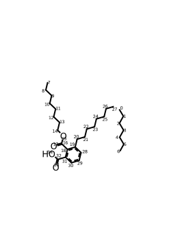 CCCCCCC.CCCCCCCCOC(=O)c1c(CCCCCCCC)cccc1C(=O)O